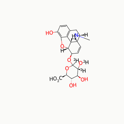 [2H]O[C@]1([2H])[C@@H](O)[C@H](O)[C@@H](C(=O)O)OC1([2H])O[C@@H]1C=C[C@H]2[C@H]3Cc4ccc(O)c5c4[C@@]2(CCN3C)[C@H]1O5